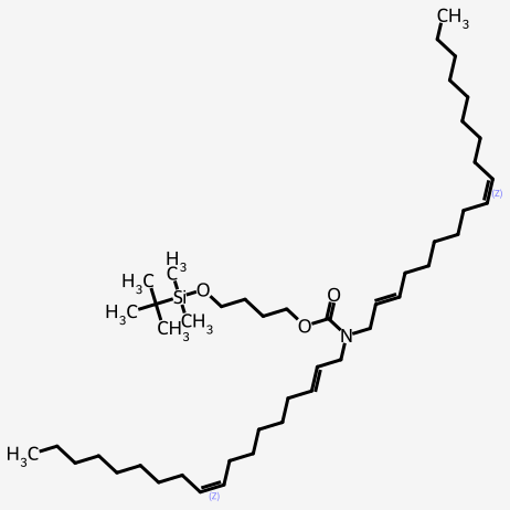 CCCCCCCC/C=C\CCCCCC=CCN(CC=CCCCCC/C=C\CCCCCCCC)C(=O)OCCCCO[Si](C)(C)C(C)(C)C